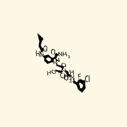 C[C@H](CO)N(CC(=O)NCc1cccc(Cl)c1F)C(=O)Cn1nc(C(N)=O)c2cc(NC(=O)CC3CC3)ccc21